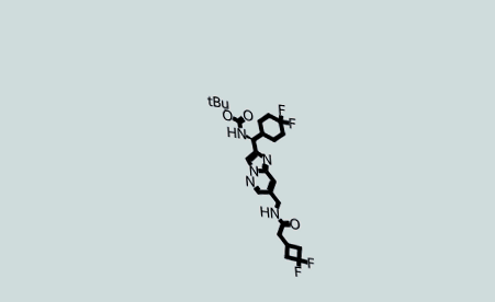 CC(C)(C)OC(=O)N[C@H](c1cn2ncc(CNC(=O)CC3CC(F)(F)C3)cc2n1)C1CCC(F)(F)CC1